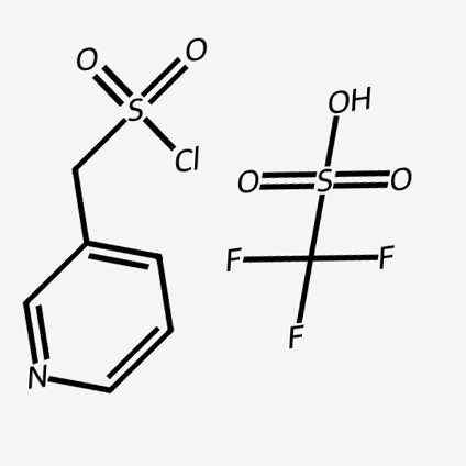 O=S(=O)(Cl)Cc1cccnc1.O=S(=O)(O)C(F)(F)F